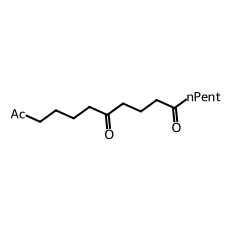 CCCCCC(=O)CCCC(=O)CCCCC(C)=O